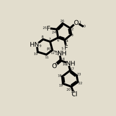 COc1cc(F)c(C2CNCC[C@H]2NC(=O)Nc2ccc(Cl)cc2)c(F)c1